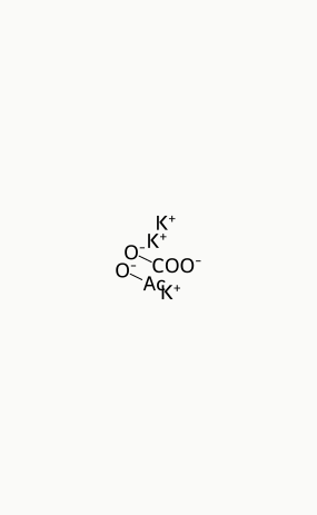 CC(=O)[O-].O=C([O-])[O-].[K+].[K+].[K+]